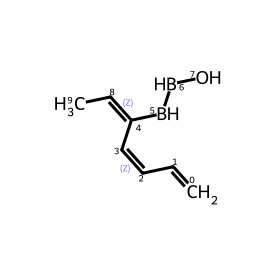 C=C/C=C\C(BBO)=C/C